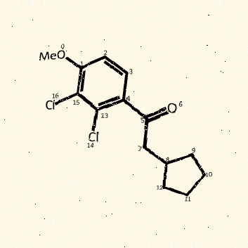 COc1ccc(C(=O)CC2CCCC2)c(Cl)c1Cl